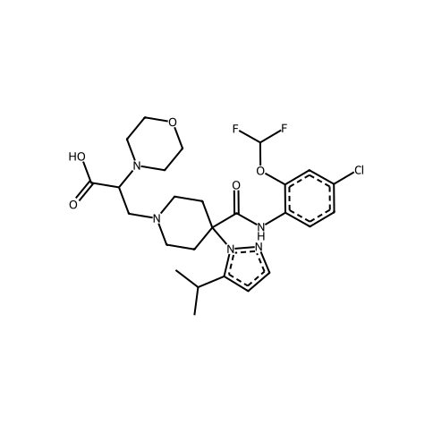 CC(C)c1ccnn1C1(C(=O)Nc2ccc(Cl)cc2OC(F)F)CCN(CC(C(=O)O)N2CCOCC2)CC1